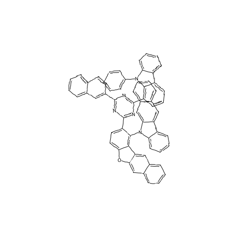 c1ccc(-n2c3ccccc3c3cccc(-c4nc(-c5ccc6ccccc6c5)nc(-c5ccc6oc7cc8ccccc8cc7c6c5-n5c6ccccc6c6cc7ccccc7cc65)n4)c32)cc1